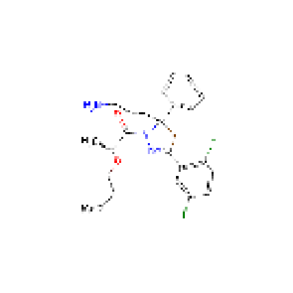 COCCO[C@@H](C)C(=O)N1N=C(c2cc(F)ccc2F)SC1(CCCN)c1ccccc1